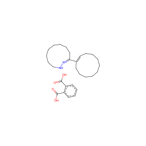 C1=C(/C2=N\NCCCCCCCC2)CCCCCCCCC/1.O=C(O)c1ccccc1C(=O)O